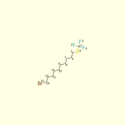 FC(F)(F)SCCCCCCCCCCBr